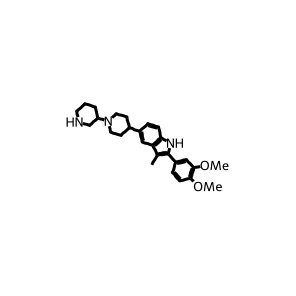 COc1ccc(-c2[nH]c3ccc(C4CCN(C5CCCNC5)CC4)cc3c2C)cc1OC